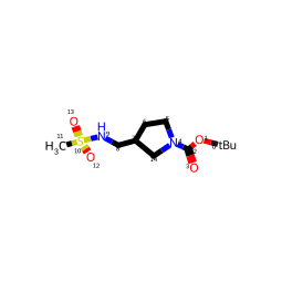 CC(C)(C)OC(=O)N1CCC(CNS(C)(=O)=O)C1